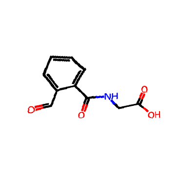 O=Cc1ccccc1C(=O)NCC(=O)O